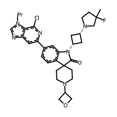 CC(C)n1cnc2cc(-c3ccc4c(c3)N([C@H]3C[C@@H](N5CCC(C)(F)C5)C3)C(=O)C43CCN(C4COC4)CC3)nc(Cl)c21